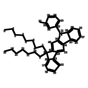 CCCCCCCCC1(CCCCCCC)c2ccccc2-c2cc3c4ccccc4n(-c4cccc(C)c4)c3cc21